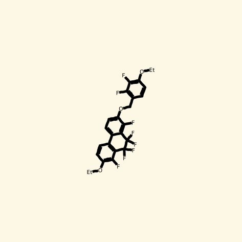 CCOc1ccc(COc2ccc3c(c2F)C(F)(F)C(F)(F)c2c-3ccc(OCC)c2F)c(F)c1F